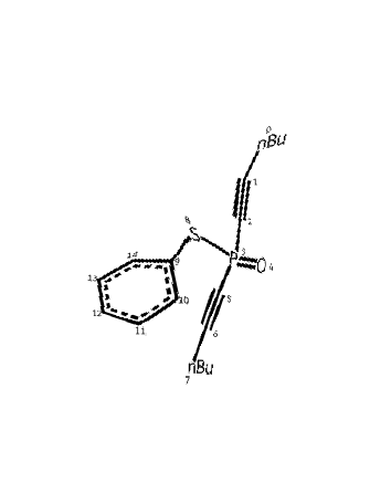 CCCCC#CP(=O)(C#CCCCC)Sc1ccccc1